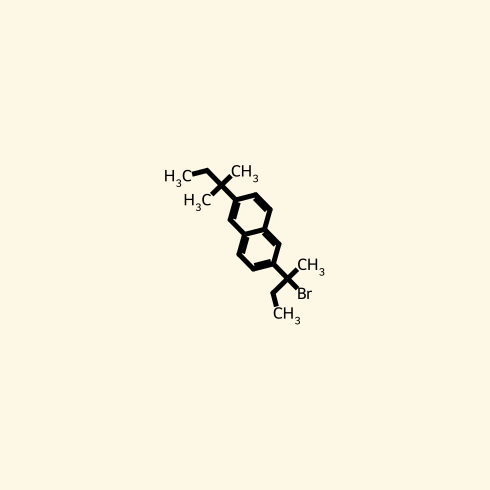 CCC(C)(C)c1ccc2cc(C(C)(Br)CC)ccc2c1